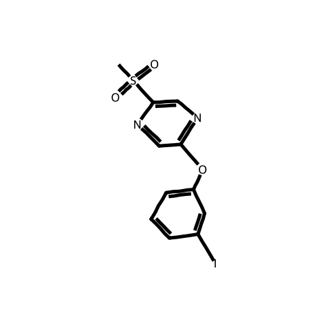 CS(=O)(=O)c1cnc(Oc2cccc(I)c2)cn1